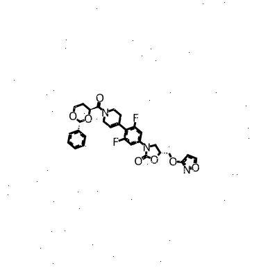 O=C([C@@H]1CCO[C@@H](c2ccccc2)O1)N1CC=C(c2c(F)cc(N3C[C@H](COc4ccon4)OC3=O)cc2F)CC1